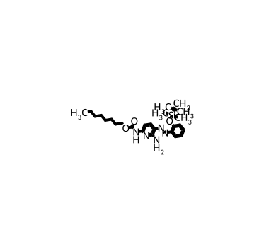 CCCCCCCCOC(=O)Nc1ccc(/N=N/c2ccccc2O[Si](C)(C)C(C)(C)C)c(N)n1